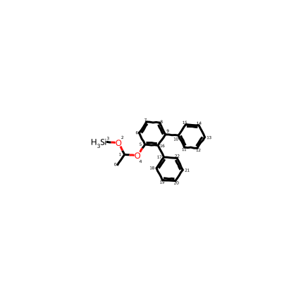 CC(O[SiH3])Oc1cccc(-c2ccccc2)c1-c1ccccc1